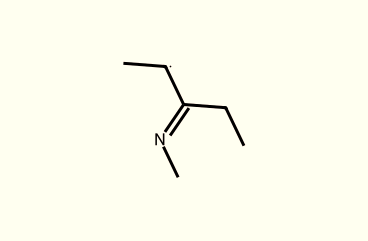 C[CH]C(CC)=NC